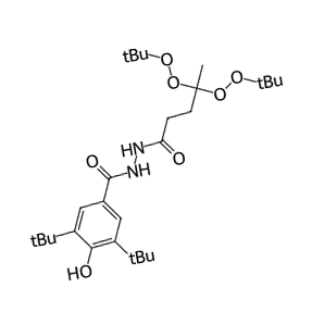 CC(C)(C)OOC(C)(CCC(=O)NNC(=O)c1cc(C(C)(C)C)c(O)c(C(C)(C)C)c1)OOC(C)(C)C